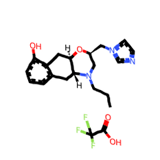 CCCN1C[C@H](Cn2ccnc2)O[C@@H]2Cc3c(O)cccc3C[C@H]21.O=C(O)C(F)(F)F